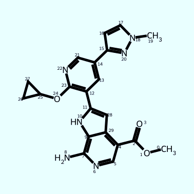 COC(=O)c1cnc(N)c2[nH]c(-c3cc(-c4ccn(C)n4)cnc3OC3CC3)cc12